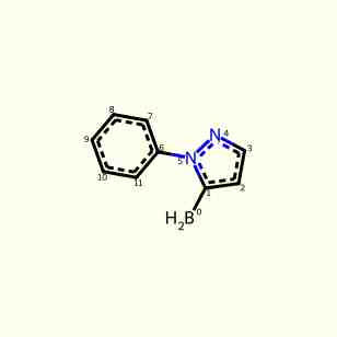 Bc1ccnn1-c1ccccc1